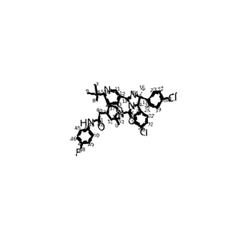 CCOc1cc(C(C)(C)C)ncc1C1=N[C@@](C)(c2ccc(Cl)cc2)[C@@](C)(c2ccc(Cl)cc2)N1C(=O)N1CCC(CC(=O)Nc2ccc(F)cc2)CC1